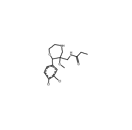 CCC(=O)NCC1(OC)CNCCOC1c1ccc(Cl)c(Cl)c1